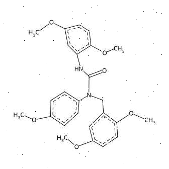 COc1ccc(N(Cc2cc(OC)ccc2OC)C(=O)Nc2cc(OC)ccc2OC)cc1